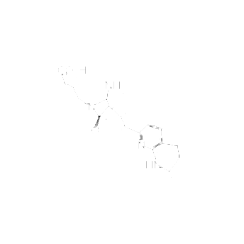 NC1C(CCc2ccc3c(n2)NCCC3)C(=O)N1CCCC(=O)O